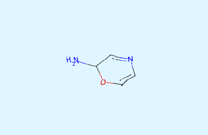 NC1C=NC=CO1